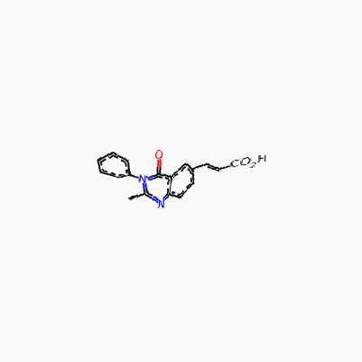 Cc1nc2ccc(/C=C/C(=O)O)cc2c(=O)n1-c1ccccc1